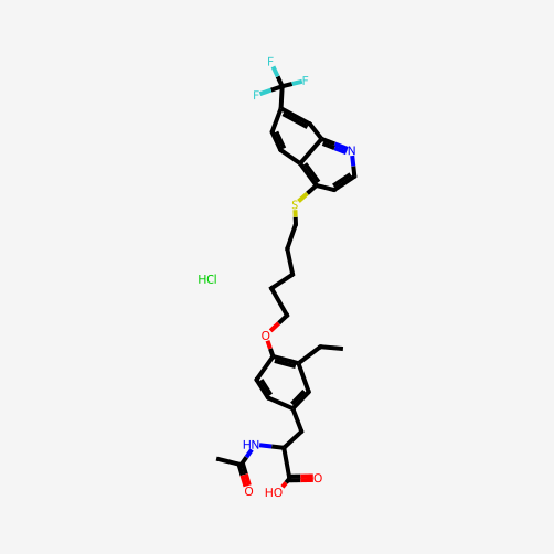 CCc1cc(CC(NC(C)=O)C(=O)O)ccc1OCCCCCSc1ccnc2cc(C(F)(F)F)ccc12.Cl